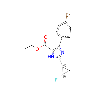 CCOC(=O)c1[nH]c([C@@H]2C[C@@H]2F)nc1-c1ccc(Br)cc1